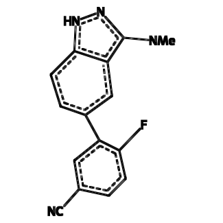 CNc1n[nH]c2ccc(-c3cc(C#N)ccc3F)cc12